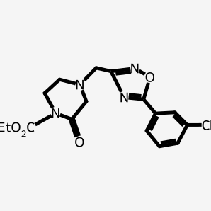 CCOC(=O)N1CCN(Cc2noc(-c3cccc(Cl)c3)n2)CC1=O